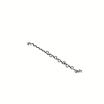 CCCOCCOCCOCCOCCOCCOCCOCCOCCCCCCCCCCC(C)C